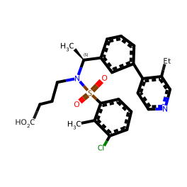 CCc1cnccc1-c1cccc([C@H](C)N(CCCC(=O)O)S(=O)(=O)c2cccc(Cl)c2C)c1